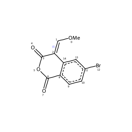 CO/C=C1/C(=O)OC(=O)c2ccc(Br)cc21